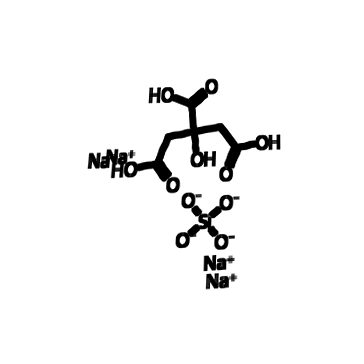 O=C(O)CC(O)(CC(=O)O)C(=O)O.[Na+].[Na+].[Na+].[Na+].[O-][Si]([O-])([O-])[O-]